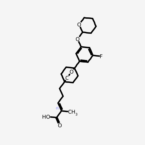 C/C(=C\CCC12CCC(c3cc(F)cc(OC4CCCCO4)c3)(CC1)OC2)C(=O)O